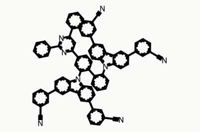 N#Cc1cccc(-c2ccc3c(c2)c2cc(-c4cccc(C#N)c4)ccc2n3-c2ccccc2-c2ccc(-c3cc(-c4ccccc4)nc(-c4ccccc4)n3)cc2-n2c3ccc(-c4cccc(C#N)c4)cc3c3cc(-c4cccc(C#N)c4)ccc32)c1